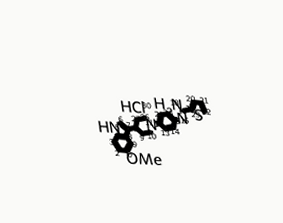 COc1ccc2[nH]cc(C3CCN(c4ccc(/N=C(\N)c5cccs5)cc4)CC3)c2c1.Cl